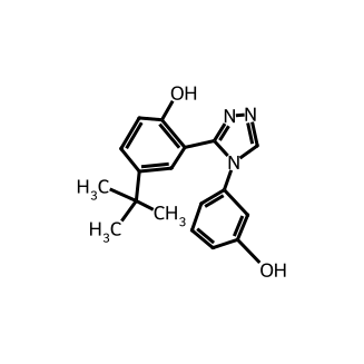 CC(C)(C)c1ccc(O)c(-c2nncn2-c2cccc(O)c2)c1